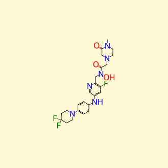 CN1CCN(CC(=O)N(O)Cc2ncc(Nc3ccc(N4CCC(F)(F)CC4)cc3)cc2F)CC1=O